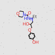 CCN(CC(O)COc1ccc(O)cc1)NC(=O)N1CCOCC1